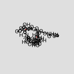 Nc1ccn([C@@H]2O[C@H](COP(=O)(O)OC3(C(=O)O)C[C@H](O)[C@@H](NC(=O)CNC(=O)CN(CCOCCOCCNC(=O)CCSSc4ccccn4)C(=O)COCC(=O)N4CCN(C(=O)c5ccccc5-c5c6ccc(=O)cc-6oc6cc(O)ccc56)CC4)[C@H]([C@H](O)[C@H](O)CO)O3)[C@@H](O)[C@H]2O)c(=O)n1